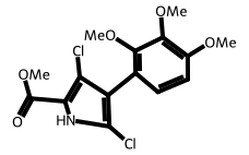 COC(=O)c1[nH]c(Cl)c(-c2ccc(OC)c(OC)c2OC)c1Cl